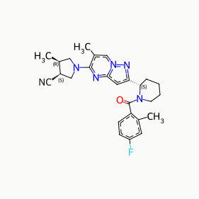 Cc1cc(F)ccc1C(=O)N1CCCC[C@H]1c1cc2nc(N3C[C@@H](C#N)[C@@H](C)C3)c(C)cn2n1